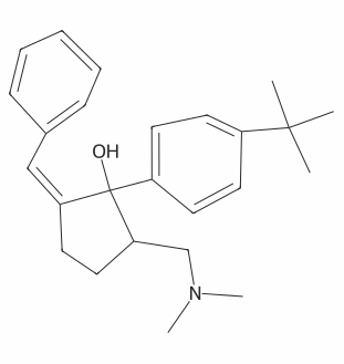 CN(C)CC1CC/C(=C/c2ccccc2)C1(O)c1ccc(C(C)(C)C)cc1